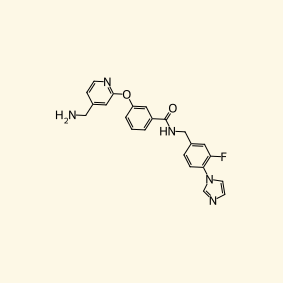 NCc1ccnc(Oc2cccc(C(=O)NCc3ccc(-n4ccnc4)c(F)c3)c2)c1